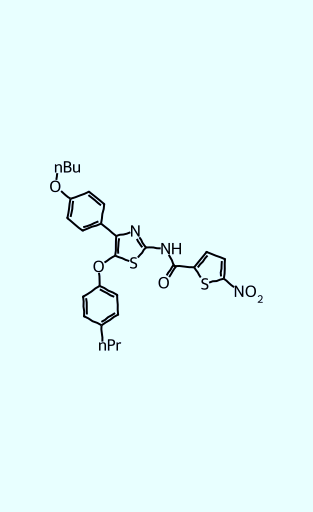 CCCCOc1ccc(-c2nc(NC(=O)c3ccc([N+](=O)[O-])s3)sc2Oc2ccc(CCC)cc2)cc1